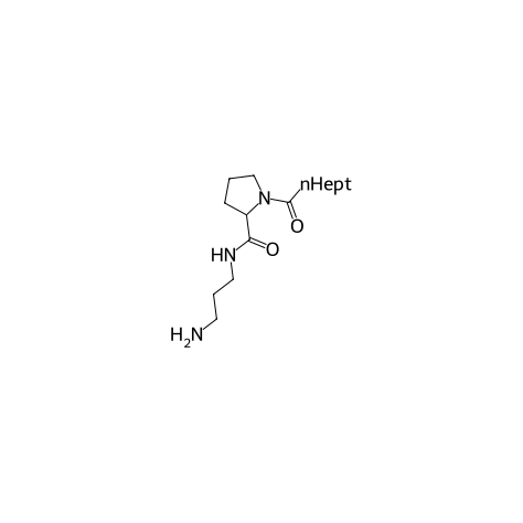 CCCCCCCC(=O)N1CCCC1C(=O)NCCCN